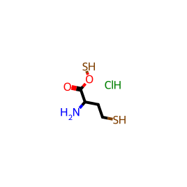 Cl.NC(CCS)C(=O)OS